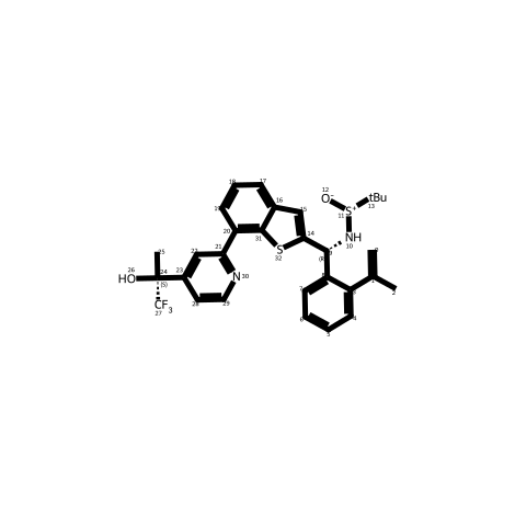 C=C(C)c1ccccc1[C@@H](N[S+]([O-])C(C)(C)C)c1cc2cccc(-c3cc([C@](C)(O)C(F)(F)F)ccn3)c2s1